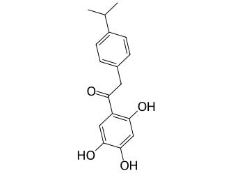 CC(C)c1ccc(CC(=O)c2cc(O)c(O)cc2O)cc1